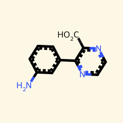 Nc1cccc(-c2nccnc2C(=O)O)c1